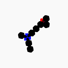 O=P1(c2ccc(-c3ccc(-c4ccc(-c5nc(-c6ccccc6)nc(-c6ccc(-c7ccccc7)cc6)n5)cc4)cc3)cc2)c2ccccc2-c2ccccc21